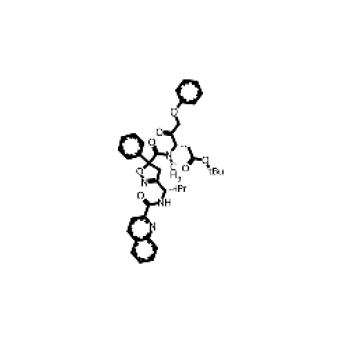 CC(C)[C@H](NC(=O)c1ccc2ccccc2n1)C1=NOC(C(=O)N(C)[C@@H](CC(=O)OC(C)(C)C)C(=O)COc2ccccc2)(c2ccccc2)C1